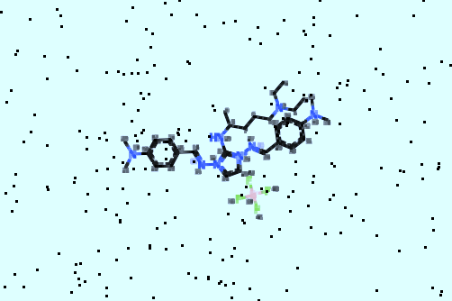 CCN(CC)CCCC(C)Nc1n(/N=C/c2ccc(N(C)C)cc2)cc[n+]1/N=C/c1ccc(N(C)C)cc1.F[B-](F)(F)F